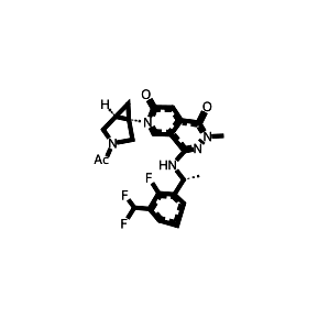 CC(=O)N1C[C@H]2C[C@@]2(n2cc3c(N[C@H](C)c4cccc(C(F)F)c4F)nn(C)c(=O)c3cc2=O)C1